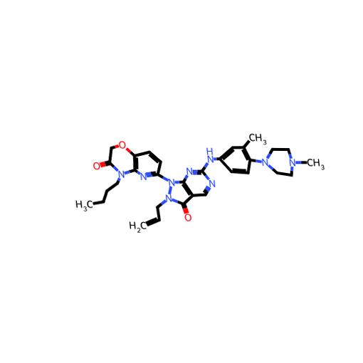 C=CCn1c(=O)c2cnc(Nc3ccc(N4CCN(C)CC4)c(C)c3)nc2n1-c1ccc2c(n1)N(CCCC)C(=O)CO2